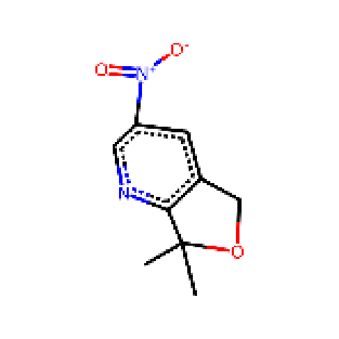 CC1(C)OCc2cc([N+](=O)[O-])cnc21